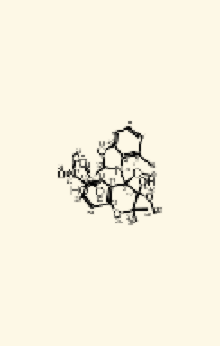 COC1(N2c3c(C)cccc3OC2S(=O)(=O)O)c2cc([N+](=O)[O-])ccc2OC(C)(C)C1(O)OC